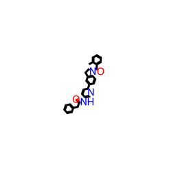 Cc1ccccc1C(=O)N1CCc2cc(-c3ccc(NC(=O)Cc4ccccc4)cn3)ccc21